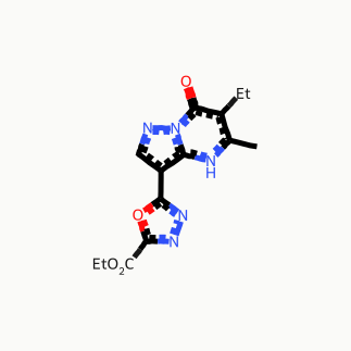 CCOC(=O)c1nnc(-c2cnn3c(=O)c(CC)c(C)[nH]c23)o1